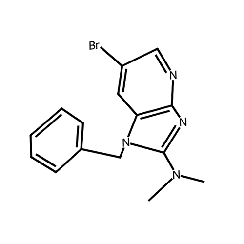 CN(C)c1nc2ncc(Br)cc2n1Cc1ccccc1